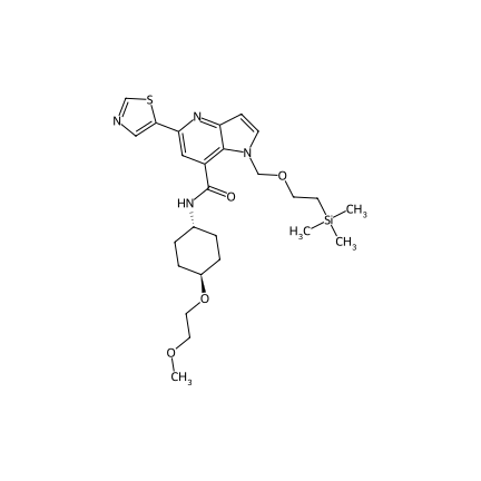 COCCO[C@H]1CC[C@H](NC(=O)c2cc(-c3cncs3)nc3ccn(COCC[Si](C)(C)C)c23)CC1